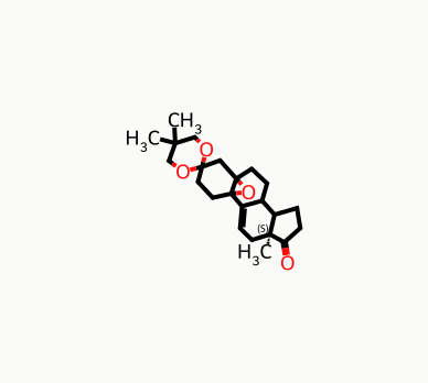 CC1(C)COC2(CCC34OC3(CCC3C4=CC[C@]4(C)C(=O)CCC34)C2)OC1